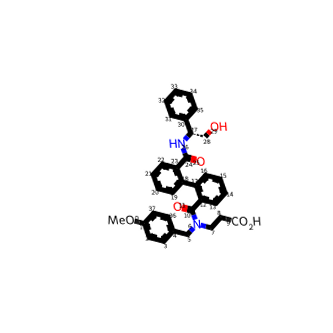 COc1ccc(CN(CCC(=O)O)C(=O)c2ccccc2-c2ccccc2C(=O)N[C@@H](CO)c2ccccc2)cc1